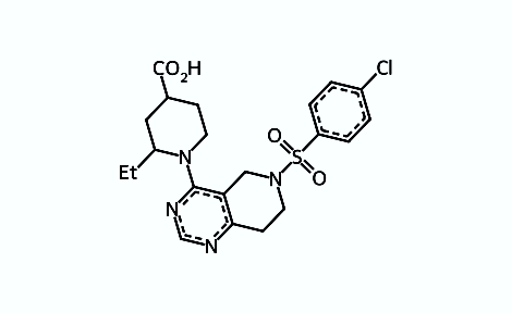 CCC1CC(C(=O)O)CCN1c1ncnc2c1CN(S(=O)(=O)c1ccc(Cl)cc1)CC2